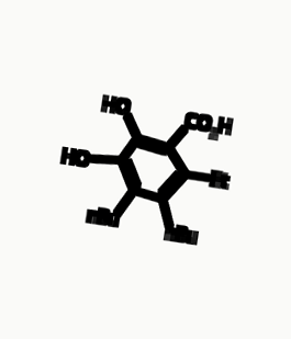 CCCCc1c(O)c(O)c(C(=O)O)c(CC)c1CCCC